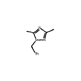 Cc1nc(C)n(CC(C)C)n1